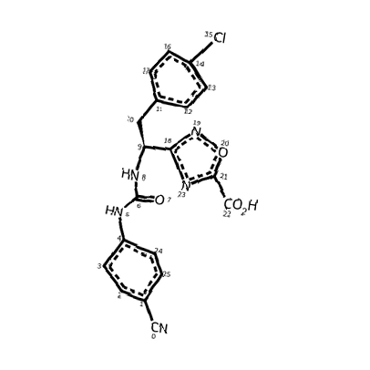 N#Cc1ccc(NC(=O)N[C@@H](Cc2ccc(Cl)cc2)c2noc(C(=O)O)n2)cc1